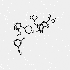 COC(=O)c1cc2c(nc(CN3CCC(c4cccnc4OCc4ccc(C#N)cc4F)CC3)n2C[C@@H]2CCO2)s1